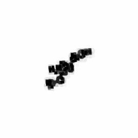 CC(Oc1c(N)ncc2c(-c3cnn(C4CCNCC4)c3)coc12)c1cccc(C2C=NN(C)C2)c1